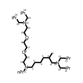 CCCN(CCCCC(C)CN(CC(C)C)CC(C)C)CCOCCOCCN(CC(C)C)CC(C)C